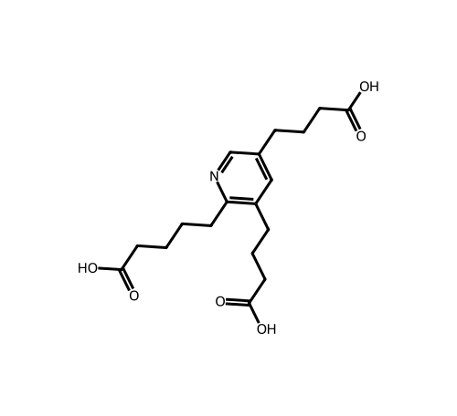 O=C(O)CCCCc1ncc(CCCC(=O)O)cc1CCCC(=O)O